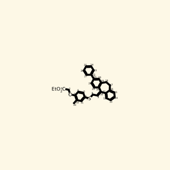 CCOC(=O)COc1ccc(SCC=C2c3ccccc3CCc3cc(-c4ccccc4)ccc32)cc1C